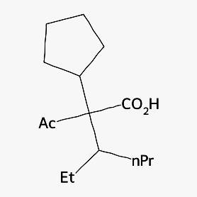 CCCC(CC)C(C(C)=O)(C(=O)O)C1CCCC1